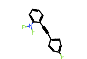 Fc1ccc(C#Cc2ccccc2N(F)F)cc1